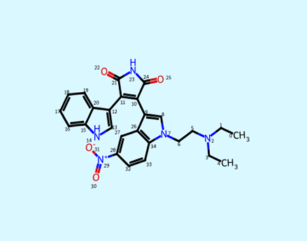 CCN(CC)CCn1cc(C2=C(c3c[nH]c4ccccc34)C(=O)NC2=O)c2cc([N+](=O)[O-])ccc21